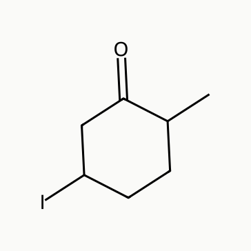 CC1CCC(I)CC1=O